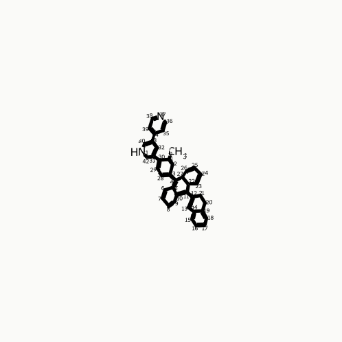 CC1CC(C2=c3ccccc3=C(C3=Cc4ccccc4CC3)C3C=CC=CC23)=CC=C1C1=CC(c2ccncc2)=CNC1